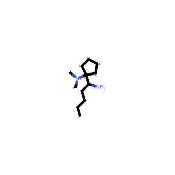 CCCCC(N)C1(N(C)C)CCCC1